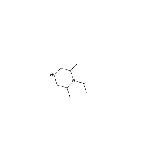 C[CH]N1C(C)CNCC1C